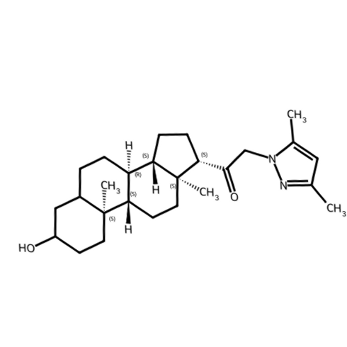 Cc1cc(C)n(CC(=O)[C@H]2CC[C@H]3[C@@H]4CCC5CC(O)CC[C@]5(C)[C@H]4CC[C@]23C)n1